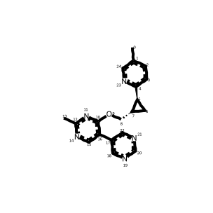 Cc1ccc([C@H]2C[C@@H]2COc2nc(C)ncc2-c2cncnc2)nc1